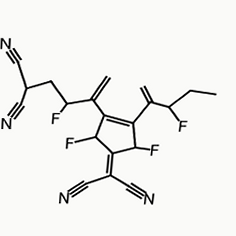 C=C(C1=C(C(=C)C(F)CC(C#N)C#N)C(F)C(=C(C#N)C#N)C1F)C(F)CC